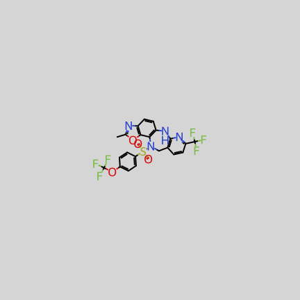 Cc1nc2ccc3c(c2o1)N(S(=O)(=O)c1ccc(OC(F)(F)F)cc1)Cc1ccc(C(F)(F)F)nc1N3